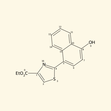 CCOC(=O)c1csc(-c2ccc(O)c3ccccc23)n1